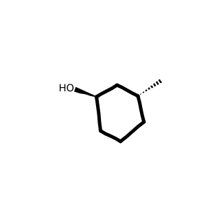 C[C@@H]1CCC[C@@H](O)C1